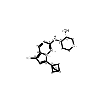 O[C@@H]1COCC[C@H]1Nc1ncc2c(F)cc(C34CC(C3)C4)n2n1